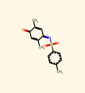 CC1=C/C(=N/S(=O)(=O)c2ccc(C)cc2)C(C)=CC1=O